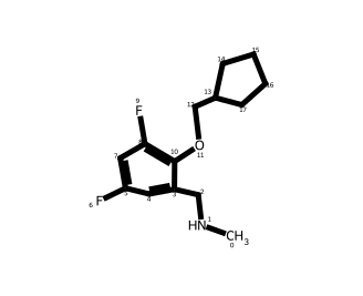 CNCc1cc(F)cc(F)c1OCC1CCCC1